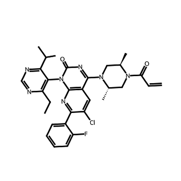 C=CC(=O)N1C[C@H](C)N(c2nc(=O)n(-c3c(CC)ncnc3C(C)C)c3nc(-c4ccccc4F)c(Cl)cc23)C[C@H]1C